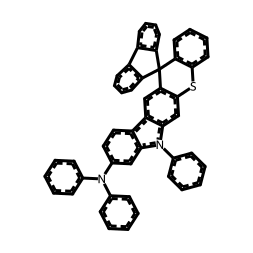 c1ccc(N(c2ccccc2)c2ccc3c4cc5c(cc4n(-c4ccccc4)c3c2)Sc2ccccc2C52c3ccccc3-c3ccccc32)cc1